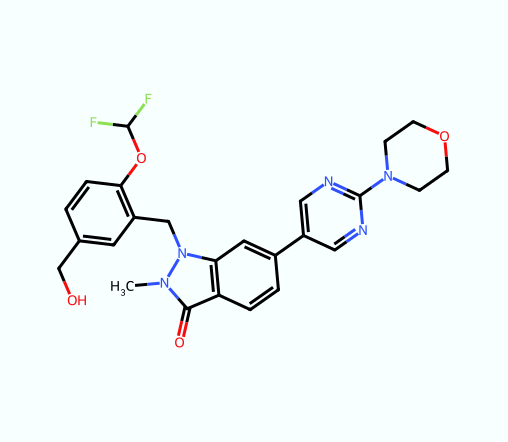 Cn1c(=O)c2ccc(-c3cnc(N4CCOCC4)nc3)cc2n1Cc1cc(CO)ccc1OC(F)F